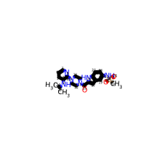 CC(C)NC1CC=CN=C1N1CCN(C(=O)c2cc3cc(NS(C)(=O)=O)ccc3[nH]2)CC1